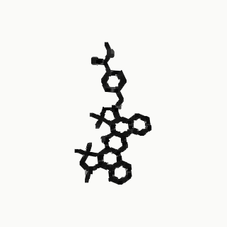 COC(=O)c1ccc(C[N+]2=c3c(c4c(c5ccccc35)=Cc3c(c5c(c6ccccc36)N(C)CC5(C)C)O4)C(C)(C)C2)cc1